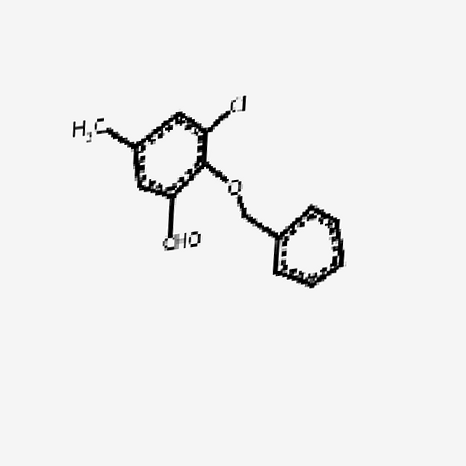 Cc1cc(Cl)c(OCc2ccccc2)c(C=O)c1